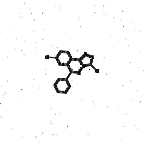 Clc1ccc2c(c1)c(-c1ccccc1)nn1c(Cl)nnc21